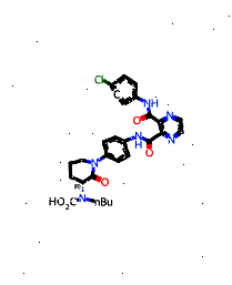 CCCCN(C(=O)O)[C@@H]1CCCN(c2ccc(NC(=O)c3nccnc3C(=O)Nc3ccc(Cl)cc3)cc2)C1=O